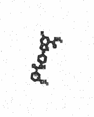 CN1CCC[C@@H](C(=O)Nc2ccc(-n3cc4cc(F)cc(C(N)=O)c4n3)cc2)C1